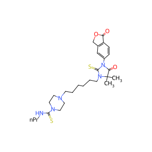 CCCNC(=S)N1CCN(CCCCCCN2C(=S)N(c3ccc4c(c3)COC4=O)C(=O)C2(C)C)CC1